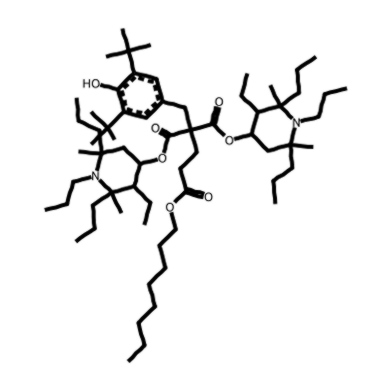 CCCCCCCCOC(=O)CCC(Cc1cc(C(C)(C)C)c(O)c(C(C)(C)C)c1)(C(=O)OC1CC(C)(CCC)N(CCC)C(C)(CCC)C1CC)C(=O)OC1CC(C)(CCC)N(CCC)C(C)(CCC)C1CC